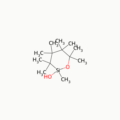 CC1(C)O[Si](C)(O)C(C)(C)C(C)(C)C1(C)C